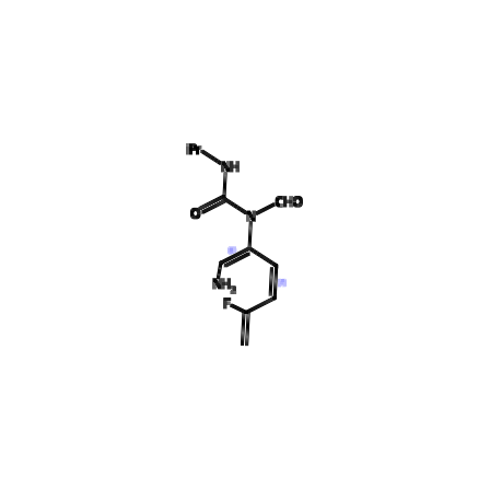 C=C(F)/C=C\C(=C/N)N(C=O)C(=O)NC(C)C